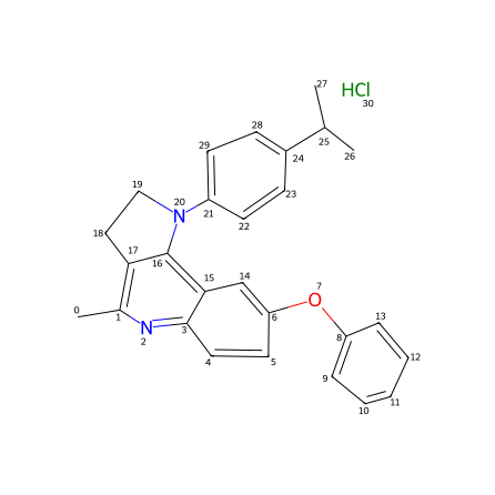 Cc1nc2ccc(Oc3ccccc3)cc2c2c1CCN2c1ccc(C(C)C)cc1.Cl